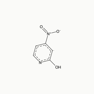 O=[N+]([O-])c1[c]c(O)ncc1